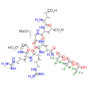 CSCC[C@H](NC(=O)[C@H](CCC(=O)O)NC(=O)[C@@H](N)CCC(=O)O)C(=O)N[C@@H](CCC(N)=O)C(=O)N[C@@H](CCCNC(=N)N)C(=O)N[C@@H](CCCNC(=N)N)C(=O)N[C@@H](C)C(=O)O.O=C(O)C(F)(F)F.O=C(O)C(F)(F)F.O=C(O)C(F)(F)F